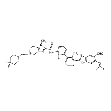 Cc1c(-c2nc3cc(C=O)c(OC(F)F)cc3o2)cccc1-c1cccc(NC(=O)c2nc3c(n2C)CCN(CCC2CCC(F)(F)CC2)C3)c1Cl